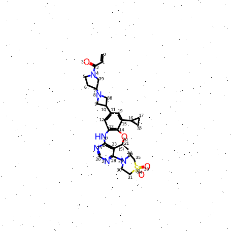 C=CC(=O)N1CCC(N2CC(c3cc4c(c(C5CC5)c3)O[C@@H](C)c3c(ncnc3N3CCS(=O)(=O)CC3)N4)C2)C1